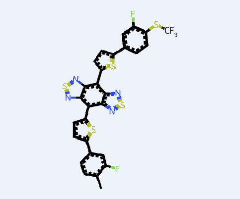 Cc1ccc(-c2ccc(-c3c4c(c(-c5ccc(-c6ccc(SC(F)(F)F)c(F)c6)s5)c5nsnc35)N=S=N4)s2)cc1F